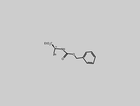 CCOC(=O)[C@@H](NC(=O)OCc1ccccc1)C(C)C